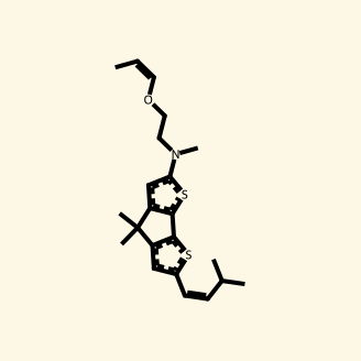 C/C=C\OCCN(C)c1cc2c(s1)-c1sc(/C=C\C(C)C)cc1C2(C)C